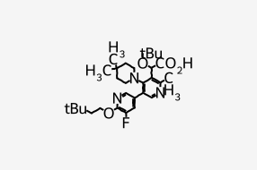 Cc1ncc(-c2cnc(OCCC(C)(C)C)c(F)c2)c(N2CCC(C)(C)CC2)c1C(OC(C)(C)C)C(=O)O